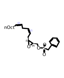 CCCCCCCC/C=C\C/C=C\C[C@@H]1O[C@@H]1COS(=O)(=O)Cc1ccccc1